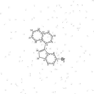 Brc1ccc2c(c1)C(c1cccc3ccccc13)=CC2